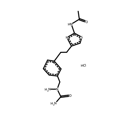 CC(=O)Nc1nc(CCc2cccc(CN(N)C(N)=O)c2)cs1.Cl